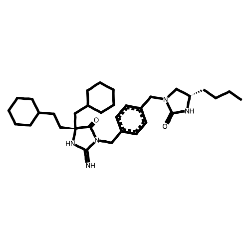 CCCC[C@H]1CN(Cc2ccc(CN3C(=N)N[C@](CCC4CCCCC4)(CC4CCCCC4)C3=O)cc2)C(=O)N1